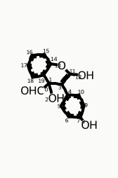 O=CC1(O)C(c2ccc(O)cc2)=C(O)Oc2ccccc21